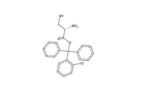 N[C@@H](CS)C(=O)OC(c1ccccc1)(c1ccccc1)c1ccccc1Cl